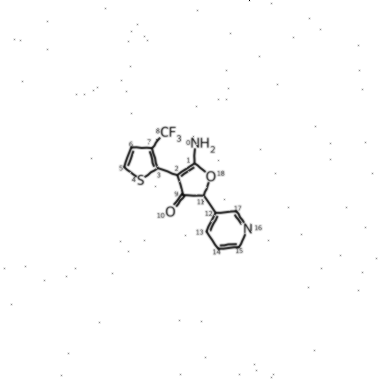 NC1=C(c2sccc2C(F)(F)F)C(=O)C(c2cccnc2)O1